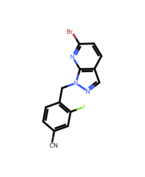 N#Cc1ccc(Cn2ncc3ccc(Br)nc32)c(F)c1